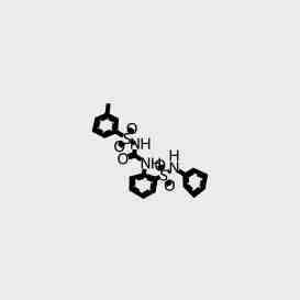 Cc1cccc(S(=O)(=O)NC(=O)Nc2ccccc2S(=O)(=O)Nc2ccccc2)c1